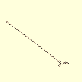 CCCCCCCCCCCC(=O)OCCCCCCCCCCCCCCCCCCCCCCCCCCCCCCCC(C)C